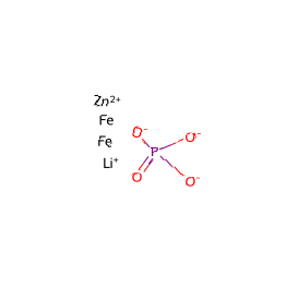 O=P([O-])([O-])[O-].[Fe].[Fe].[Li+].[Zn+2]